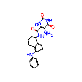 Nc1c(C(=O)NC2CCCc3c(Nc4ccccc4)cccc32)[nH]c(=O)[nH]c1=O